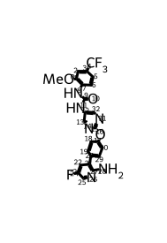 COc1cc(C(F)(F)F)ccc1NC(=O)Nc1cnc(Oc2ccc(-c3cc(F)cnc3N)cc2)nc1